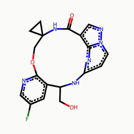 O=C1NC2(CC2)COc2ncc(F)cc2C(CO)Nc2ccn3ncc1c3n2